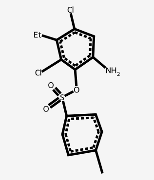 CCc1c(Cl)cc(N)c(OS(=O)(=O)c2ccc(C)cc2)c1Cl